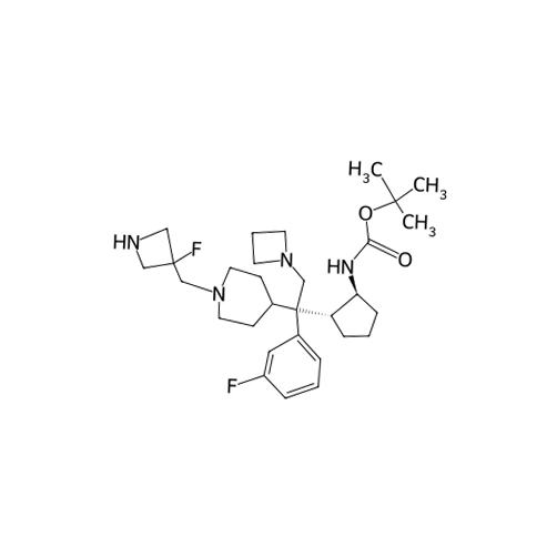 CC(C)(C)OC(=O)N[C@H]1CCC[C@@H]1C(CN1CCC1)(c1cccc(F)c1)C1CCN(CC2(F)CNC2)CC1